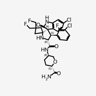 NC(=O)[C@@H]1CC[C@@H](NC(=O)[C@@H]2NC3(CC(CF)(CF)C3)[C@@]3(C(=O)Nc4cc(Cl)ccc43)[C@H]2c2cccc(Cl)c2F)CO1